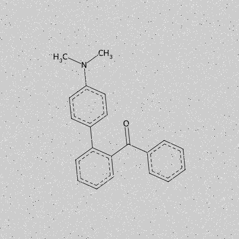 CN(C)c1ccc(-c2ccccc2C(=O)c2ccccc2)cc1